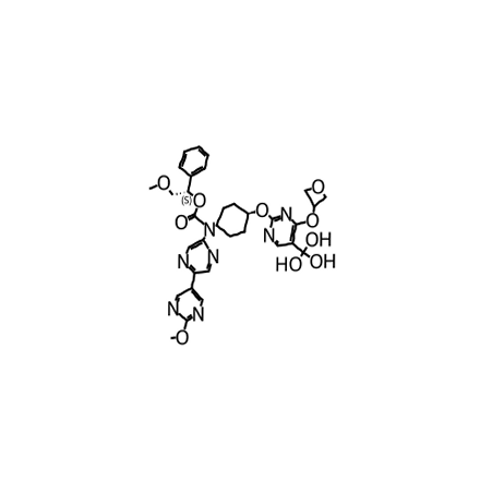 COC[C@@H](OC(=O)N(c1cnc(-c2cnc(OC)nc2)cn1)[C@H]1CC[C@H](Oc2ncc(C(O)(O)O)c(OC3COC3)n2)CC1)c1ccccc1